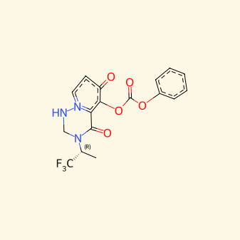 C[C@@H](N1CNn2ccc(=O)c(OC(=O)Oc3ccccc3)c2C1=O)C(F)(F)F